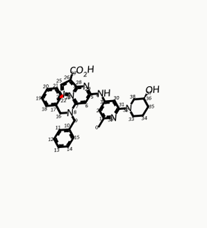 Cc1cc(Nc2cc(N(Cc3ccccc3)Cc3ccccc3)n3ncc(C(=O)O)c3n2)cc(N2CCC[C@H](O)C2)n1